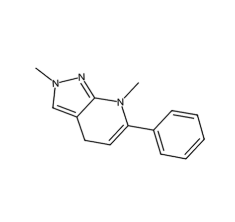 CN1C(c2ccccc2)=CCc2cn(C)nc21